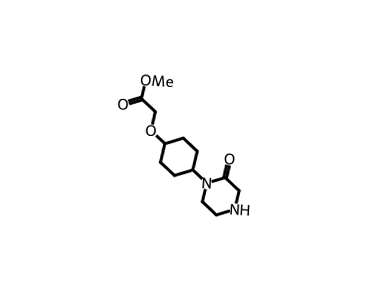 COC(=O)COC1CCC(N2CCNCC2=O)CC1